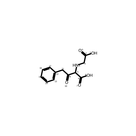 O=C(O)CNC(C(=O)O)C(=O)Cc1ccccc1